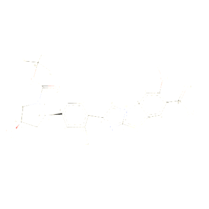 COc1cc2c(cc1C(=O)O)sc1nc(-c3ccc([C@H]4C[C@@H](O)CN4C(=O)OC(C)(C)C)cc3F)cn12